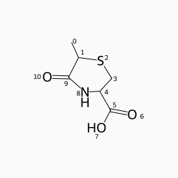 CC1SCC(C(=O)O)NC1=O